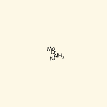 [AlH3].[Cr].[Mo].[Ni]